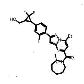 CCc1cc(C(=O)N2CCCCC[C@H]2C)nc2cc(-c3ccc(C4C(CO)C4(F)F)cc3F)nn12